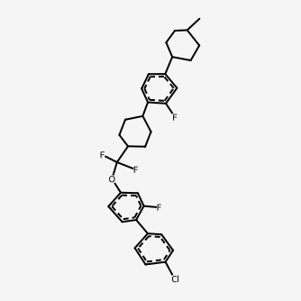 CC1CCC(c2ccc(C3CCC(C(F)(F)Oc4ccc(-c5ccc(Cl)cc5)c(F)c4)CC3)c(F)c2)CC1